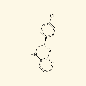 Clc1ccc([C@@H]2CNc3ccccc3S2)cc1